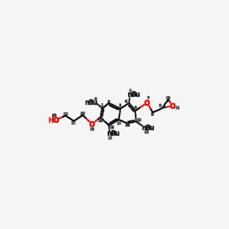 CCCCc1cc2c(CCCC)c(OCC3CO3)c(CCCC)cc2c(CCCC)c1OCCCO